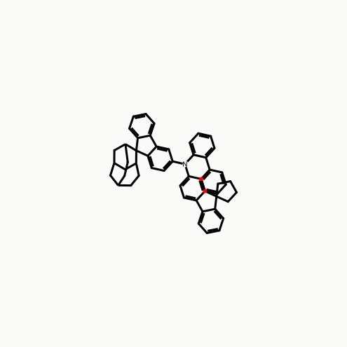 c1ccc(-c2ccccc2N(c2ccc3c(c2)-c2ccccc2C32C3CCC4CCC2CC(C4)C3)c2ccc3c(c2)C2(CCCC2)c2ccccc2-3)cc1